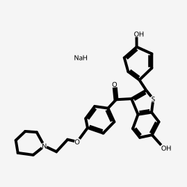 O=C(c1ccc(OCCN2CCCCC2)cc1)c1c(-c2ccc(O)cc2)sc2cc(O)ccc12.[NaH]